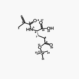 C=C(C)C(=O)N[C@@H](CCC(=O)O[Si](C)(C)C)C(=O)O